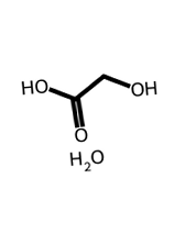 O.O=C(O)CO